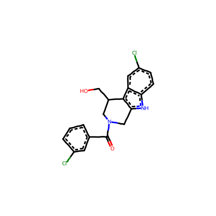 O=C(c1cccc(Cl)c1)N1Cc2[nH]c3ccc(Cl)cc3c2C(CO)C1